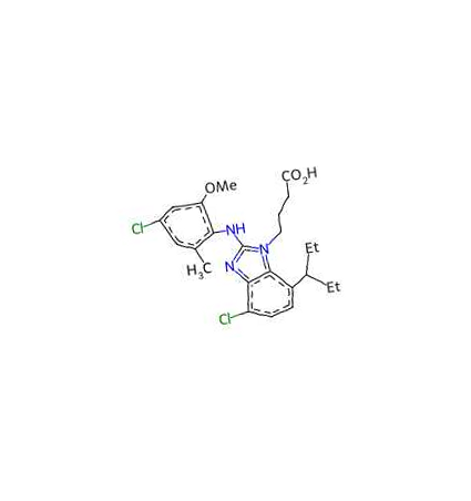 CCC(CC)c1ccc(Cl)c2nc(Nc3c(C)cc(Cl)cc3OC)n(CCCC(=O)O)c12